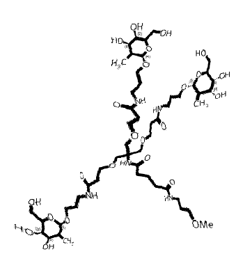 COCCCNC(=O)CCCC(=O)NC(COCCC(=O)NCCCO[C@@H]1OC(CO)[C@H](O)[C@H](O)C1C)(COCCC(=O)NCCCO[C@@H]1OC(CO)[C@H](O)[C@H](O)C1C)COCCC(=O)NCCCO[C@@H]1OC(CO)[C@H](O)[C@H](O)C1C